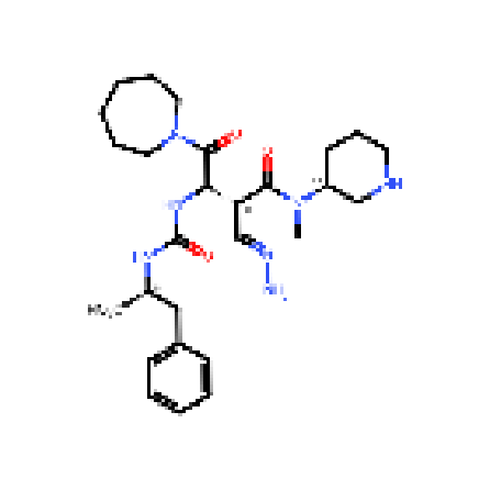 CN(C(=O)[C@H](C=NN)C(NC(=O)N[C@@H](Cc1ccccc1)C(=O)O)C(=O)N1CCCCCC1)[C@H]1CCCNC1